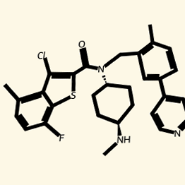 CN[C@H]1CC[C@H](N(Cc2cc(-c3ccncc3)ccc2C)C(=O)c2sc3c(F)ccc(C)c3c2Cl)CC1